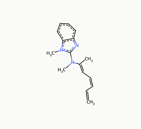 C=C/C=C\C=C(/C)N(C)c1nc2ccccc2n1C